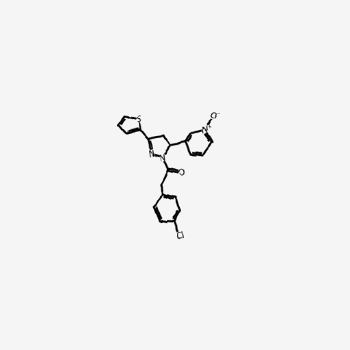 O=C(Cc1ccc(Cl)cc1)N1N=C(c2cccs2)CC1c1ccc[n+]([O-])c1